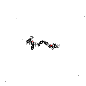 CCc1c(F)ccc2cc(O)cc(-c3ncc4c(N5CC6CCC(C5)N6)nc(OCC5(CN6CCC(OC7CC8(CCN(c9ccc%10c(c9)CN(C9CCC(=O)NC9=O)C%10=O)CC8)C7)CC6)CC5)nc4c3F)c12